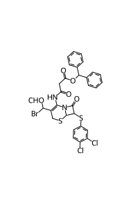 O=CC(Br)C1=C(NC(=O)CC(=O)OC(c2ccccc2)c2ccccc2)N2C(=O)C(Sc3ccc(Cl)c(Cl)c3)C2SC1